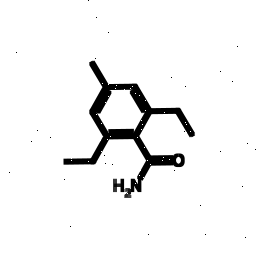 CCc1cc(C)cc(CC)c1C(N)=O